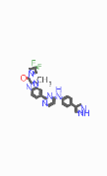 Cn1c(C(=O)N2CC(F)(F)C2)nc2ccc(-c3nccc(Nc4ccc(-c5cn[nH]c5)cc4)n3)cc21